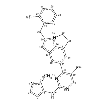 Cn1nccc1Nc1ncc(F)c(-c2cc3c4c(c2)cc(Cc2ccccc2F)n4CC3)n1